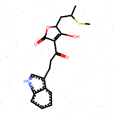 CSC(C)CC1OC(=O)C(C(=O)CCc2c[nH]c3ccccc23)=C1O